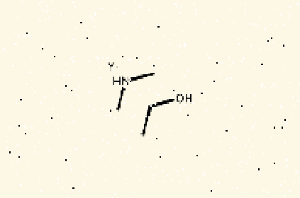 CCO.CNC.[Y]